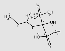 NCC(S)CC(O)(P(=O)(O)O)P(=O)(O)O